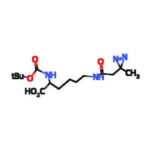 CC1(CC(=O)NCCCCC(NC(=O)OC(C)(C)C)C(=O)O)N=N1